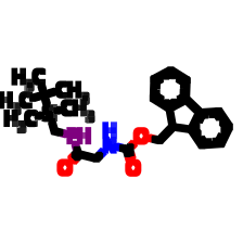 CC(C)(C)[Si](C)(C)CPC(=O)CNC(=O)OCC1c2ccccc2-c2ccccc21